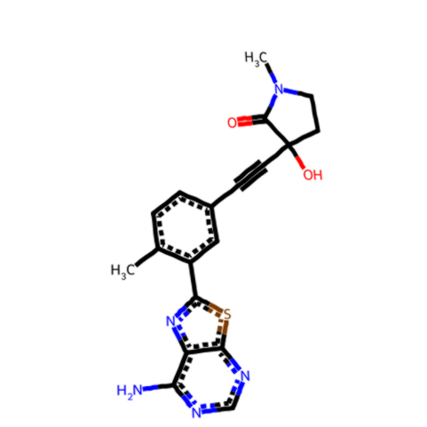 Cc1ccc(C#CC2(O)CCN(C)C2=O)cc1-c1nc2c(N)ncnc2s1